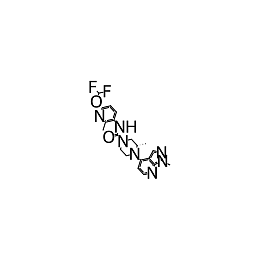 Cc1nc(OC(F)F)ccc1NC(=O)N1CCN(c2ccnc3c2cnn3C)[C@@H](C)C1